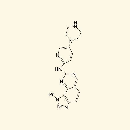 CC(C)n1nnc2ccc3cnc(Nc4ccc(N5CCNCC5)cn4)nc3c21